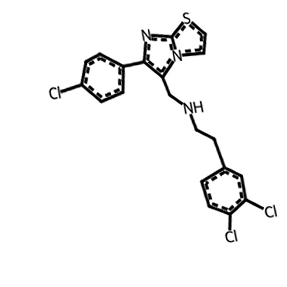 Clc1ccc(-c2nc3sccn3c2CNCCc2ccc(Cl)c(Cl)c2)cc1